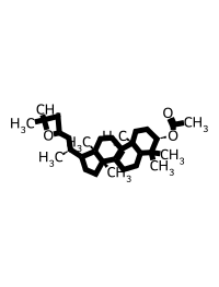 CC(=O)O[C@H]1CC[C@]2(C)C3=C(CCC2C1(C)C)[C@]1(C)CCC([C@H](C)CC2CC(C)(C)O2)[C@@]1(C)CC3